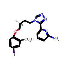 C[C@H](CCn1cnnc1-c1cccc(N)n1)COc1ccc(I)cc1C(=O)O